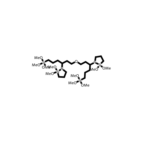 CO[Si](CCCC(CCOCCC(CCC[Si](OC)(OC)OC)N1CCC[Si]1(OC)OC)N1CCC[Si]1(OC)OC)(OC)OC